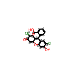 O=C(O)c1ccccc1C1=C2CC(Cl)C(=O)C=C2Oc2cc(O)c(Cl)cc21